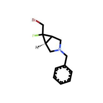 FC1(CBr)C2CN(Cc3ccccc3)C[C@H]21